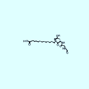 O=CNCC(=O)N[C@@H](CC(=O)O)C(=O)NCCCCCCCCCCCCC(=O)O